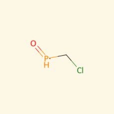 O=[PH]CCl